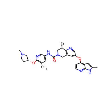 CC[C@@H]1CN(C(=O)Nc2cnc(O[C@@H]3CCN(C)C3)c(C(F)(F)F)c2)Cc2cc(Oc3ccnc4[nH]c(C)cc34)cnc21